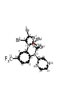 Cc1nc(Br)c(Br)n1-c1cc(C(F)(F)F)ccc1N(C(=O)OC(C)(C)C)c1cnccn1